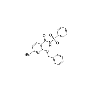 CC(C)(C)c1ccc(C(=O)NS(=O)(=O)c2ccccc2)c(OCc2ccccc2)n1